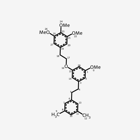 COc1cc(CCc2cc(C)cc(C)c2)cc(OCCc2cc(OC)c(OC)c(OC)c2)c1